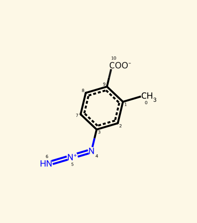 Cc1cc(N=[N+]=N)ccc1C(=O)[O-]